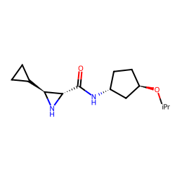 CC(C)O[C@@H]1CC[C@@H](NC(=O)[C@@H]2N[C@H]2C2CC2)C1